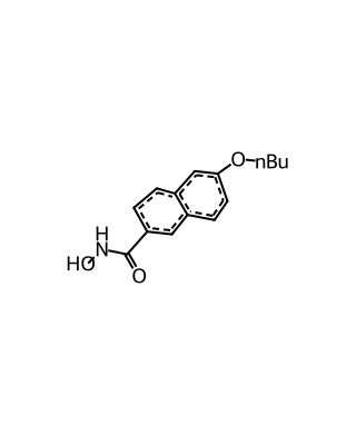 CCCCOc1ccc2cc(C(=O)NO)ccc2c1